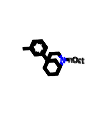 CCCCCCCCN1CCC2(c3cccc(C)c3)CCCC1C2